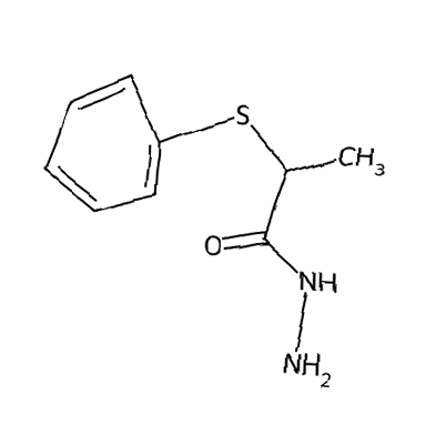 CC(Sc1ccccc1)C(=O)NN